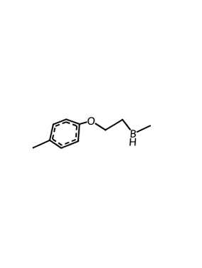 CBCCOc1ccc(C)cc1